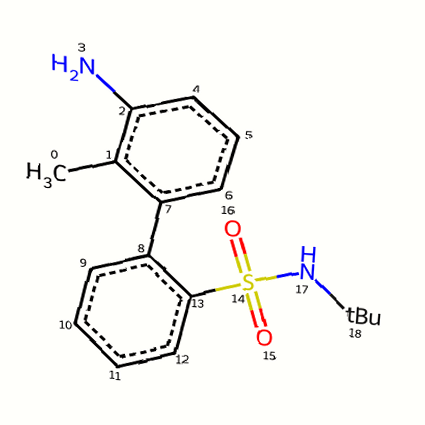 Cc1c(N)cccc1-c1ccccc1S(=O)(=O)NC(C)(C)C